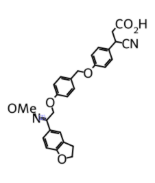 CO/N=C(\COc1ccc(COc2ccc(C(C#N)CC(=O)O)cc2)cc1)c1ccc2c(c1)CCO2